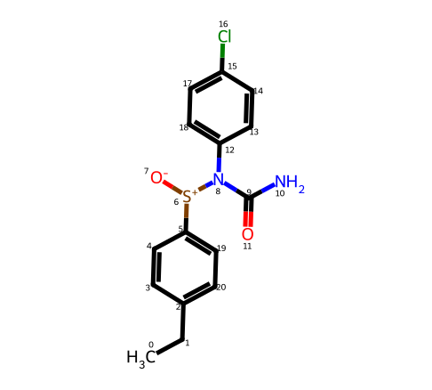 CCc1ccc([S+]([O-])N(C(N)=O)c2ccc(Cl)cc2)cc1